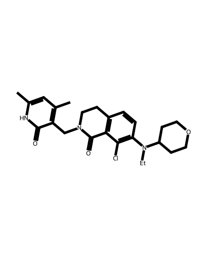 CCN(c1ccc2c(c1Cl)C(=O)N(Cc1c(C)cc(C)[nH]c1=O)CC2)C1CCOCC1